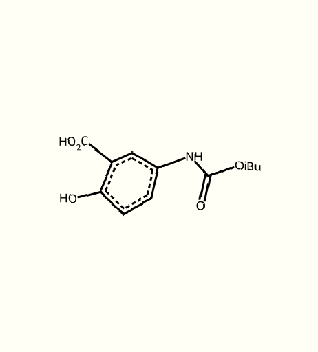 CC(C)COC(=O)Nc1ccc(O)c(C(=O)O)c1